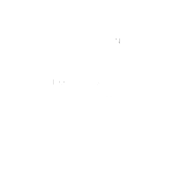 CCCC(O)C(=O)c1cccnc1